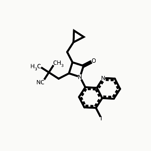 CC(C)(C#N)CC1C(CC2CC2)C(=O)N1c1ccc(I)c2cccnc12